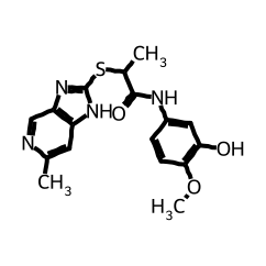 COc1ccc(NC(=O)C(C)Sc2nc3cnc(C)cc3[nH]2)cc1O